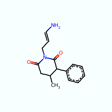 CC1CC(=O)N(CC=CN)C(=O)C1c1ccccc1